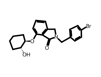 O=C1c2c(cccc2O[C@@H]2CCCC[C@H]2O)CN1Cc1ccc(Br)cc1